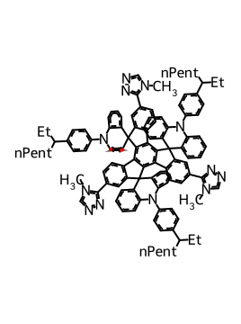 CCCCCC(CC)c1ccc(N2c3ccccc3C3(c4cc(-c5nncn5C)ccc4-c4c3c3c(c5c4C4(c6cc(-c7nncn7C)ccc6-5)c5ccccc5N(c5ccc(C(CC)CCCCC)cc5)c5ccccc54)C4(c5cc(-c6nncn6C)ccc5-3)c3ccccc3N(c3ccc(C(CC)CCCCC)cc3)c3ccccc34)c3ccccc32)cc1